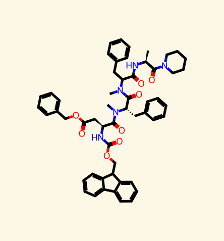 C[C@H](NC(=O)C(Cc1ccccc1)N(C)C(=O)[C@H](Cc1ccccc1)N(C)C(=O)[C@H](CC(=O)OCc1ccccc1)NC(=O)OCC1c2ccccc2-c2ccccc21)C(=O)N1CCCCC1